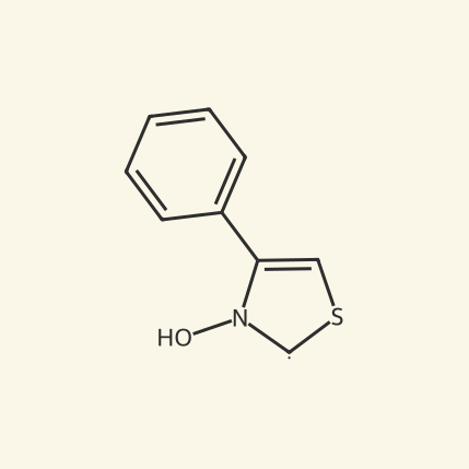 ON1[CH]SC=C1c1ccccc1